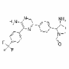 Nc1ncc(-c2ccc(C3C(N)CCN3C=O)cc2)nc1-c1ccc(C(F)(F)F)cc1